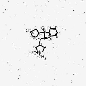 C[N+]1(C)CCC(OC(=O)C(O)(c2ccccc2)C2CCCC2)C1.[Cl-]